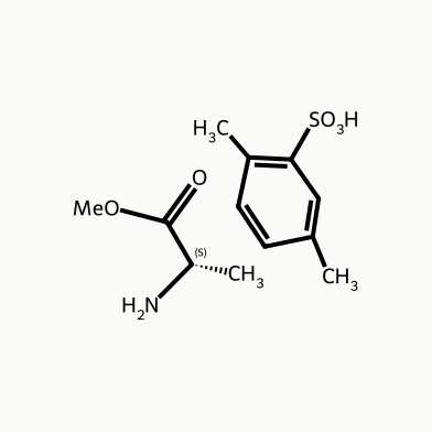 COC(=O)[C@H](C)N.Cc1ccc(C)c(S(=O)(=O)O)c1